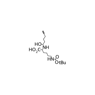 C#CCCCC(O)N[C@@H](CCCCNC(=O)OC(C)(C)C)C(=O)O